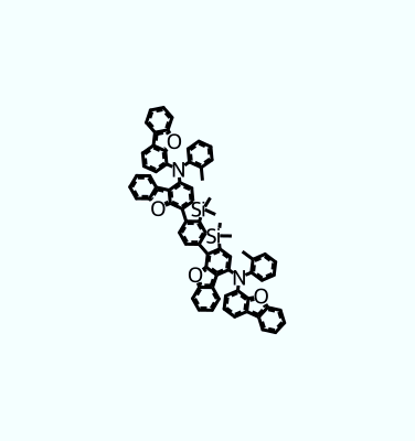 Cc1ccccc1N(c1cccc2c1oc1ccccc12)c1cc2c(c3oc4ccccc4c13)-c1ccc3c(c1[Si]2(C)C)[Si](C)(C)c1cc(N(c2ccccc2C)c2cccc4c2oc2ccccc24)c2c(oc4ccccc42)c1-3